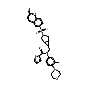 O=C(c1cccs1)N(CC1C2CN(S(=O)(=O)c3ccc4oc(=O)ccc4c3)CC12)c1ccc(N2CCOCC2)c(F)c1